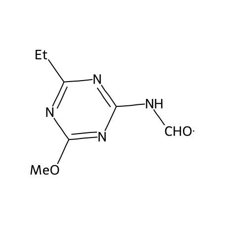 CCc1nc(N[C]=O)nc(OC)n1